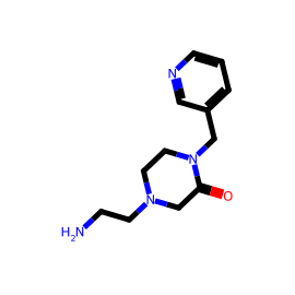 NCCN1CCN(Cc2cccnc2)C(=O)C1